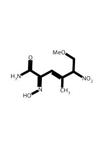 COCC(C(C)=CC(=NO)C(N)=O)[N+](=O)[O-]